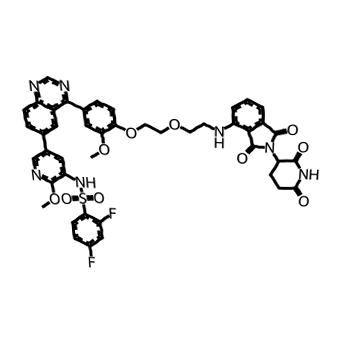 COc1cc(-c2ncnc3ccc(-c4cnc(OC)c(NS(=O)(=O)c5ccc(F)cc5F)c4)cc23)ccc1OCCOCCNc1cccc2c1C(=O)N(C1CCC(=O)NC1=O)C2=O